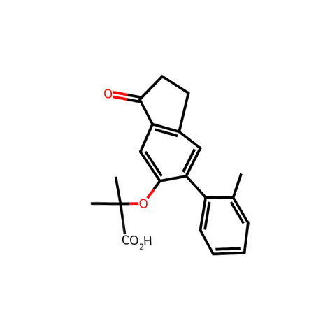 Cc1ccccc1-c1cc2c(cc1OC(C)(C)C(=O)O)C(=O)CC2